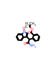 CCOC(=O)c1ccccc1C(C(N)=O)c1cn(OC)c2ccccc12